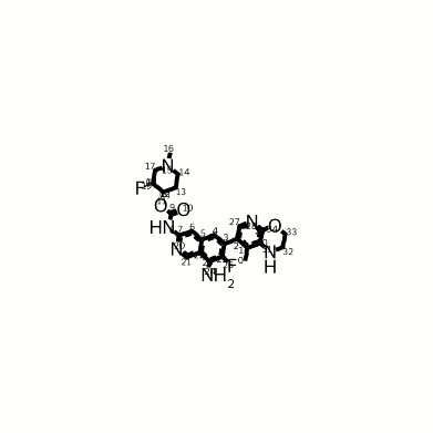 Cc1c(-c2cc3cc(NC(=O)O[C@H]4CCN(C)C[C@H]4F)ncc3c(N)c2F)cnc2c1NCCO2